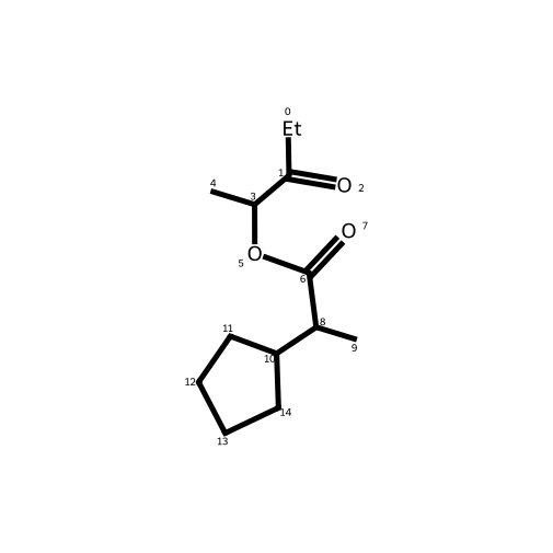 CCC(=O)C(C)OC(=O)C(C)C1CCCC1